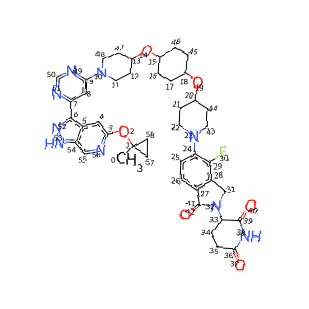 CC1(Oc2cc3c(-c4cc(N5CCC(OC6CCC(OC7CCN(c8ccc9c(c8F)CN(C8CCC(=O)NC8=O)C9=O)CC7)CC6)CC5)ncn4)n[nH]c3cn2)CC1